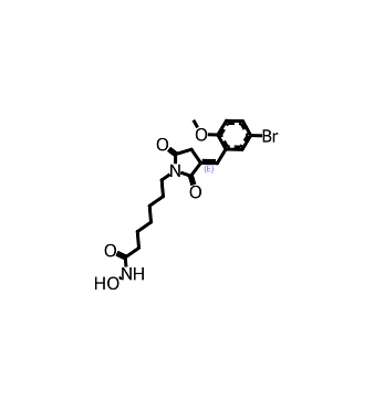 COc1ccc(Br)cc1/C=C1\CC(=O)N(CCCCCCC(=O)NO)C1=O